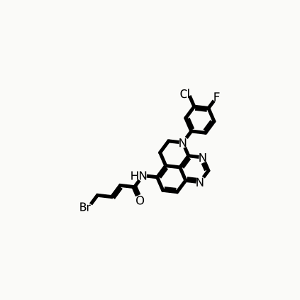 O=C(/C=C/CBr)Nc1ccc2ncnc3c2c1CCN3c1ccc(F)c(Cl)c1